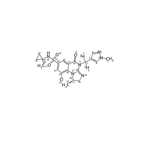 [2H]C([2H])(c1cnn(C)c1)N1C(=O)c2cc(S(=O)(=O)NC3(C)CC3)cc(Cl)c2N2C1=NC[C@H]2C